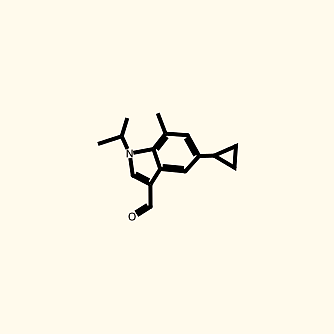 Cc1cc(C2CC2)cc2c(C=O)cn(C(C)C)c12